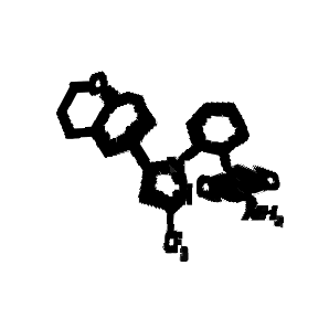 NS(=O)(=O)c1ccccc1-n1nc(C(F)(F)F)cc1-c1ccc2c(c1)CCCO2